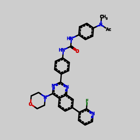 CC(=O)N(C)c1ccc(NC(=O)Nc2ccc(-c3nc(N4CCOCC4)c4ccc(-c5cccnc5F)cc4n3)cc2)cc1